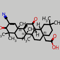 CC1(C)CC[C@]2(CC(=O)O)CC[C@]3(C)[C@H](C(=O)C=C4[C@@]5(C)C=C(C#N)C(=O)C(C)(C)C5CC[C@]43C)[C@@H]2C1